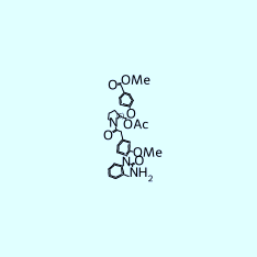 COC(=O)c1ccc(OC(OC(C)=O)[C@@H]2CCCN2C(=O)Cc2ccc(N(C(N)=O)c3ccccc3C)c(OC)c2)cc1